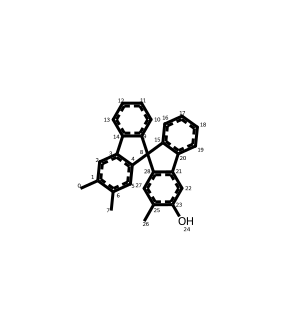 Cc1cc2c(cc1C)C1(c3ccccc3-2)c2ccccc2-c2cc(O)c(C)cc21